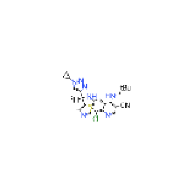 [2H]C(Nc1cc(Cl)c2ncc(C#N)c(NCC(C)(C)C)c2c1)(c1cn(C2CC2)nn1)c1scnc1C